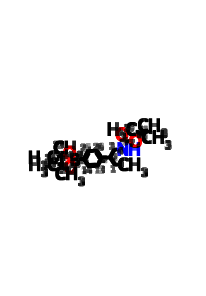 CCC(CNC(=O)OC(C)(C)C)c1ccc(B2OC(C)(C)C(C)(C)O2)cc1